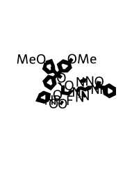 COc1ccc(C(OC[C@H]2O[C@@H](n3nnc4c(NC(=O)c5ccccc5)ncnc43)[C@@H](F)[C@@H]2O[PH](=O)Oc2ccccc2)(c2ccccc2)c2ccc(OC)cc2)cc1